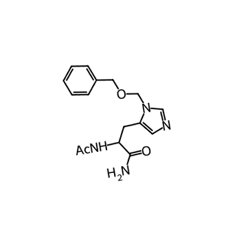 CC(=O)NC(Cc1cncn1COCc1ccccc1)C(N)=O